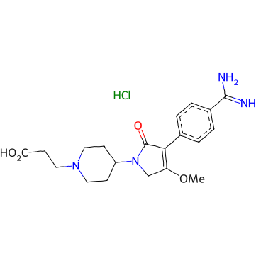 COC1=C(c2ccc(C(=N)N)cc2)C(=O)N(C2CCN(CCC(=O)O)CC2)C1.Cl